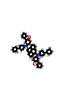 c1ccc(-c2ccc(N(c3ccc4oc5ccccc5c4c3)c3cc4cccc5c(N(c6ccc(-c7ccccc7)cc6)c6ccc7oc8ccccc8c7c6)cc6cccc3c6c45)cc2)cc1